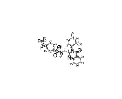 Cc1ccc(-n2c(CN(C)S(=O)(=O)c3ccc(C(F)(F)F)cc3)nc3ccccc3c2=O)c(C)c1